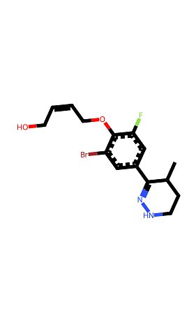 CC1CCNN=C1c1cc(F)c(OC/C=C\CO)c(Br)c1